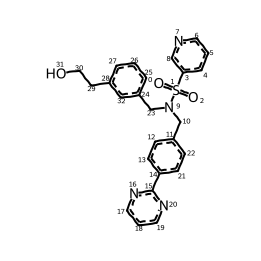 O=S(=O)(c1cccnc1)N(Cc1ccc(-c2ncccn2)cc1)Cc1cccc(CCO)c1